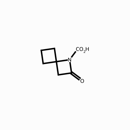 O=C(O)N1C(=O)CC12CCC2